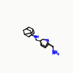 NCc1ccc(CNC23CC4CC(CC(C4)C2)C3)cn1